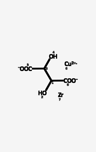 O=C([O-])C(O)C(O)C(=O)[O-].[Cu+2].[Zr]